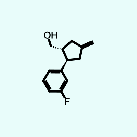 C=C1C[C@@H](CO)[C@H](c2cccc(F)c2)C1